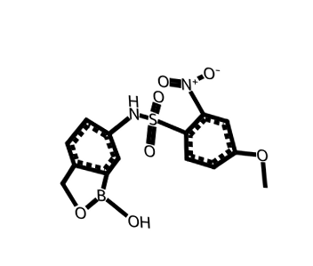 COc1ccc(S(=O)(=O)Nc2ccc3c(c2)B(O)OC3)c([N+](=O)[O-])c1